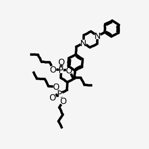 CCCCOP(=O)(CC(Cc1ccc(CN2CCN(c3ccccc3)CC2)cc1)CP(=O)(OCCCC)OCCCC)OCCCC